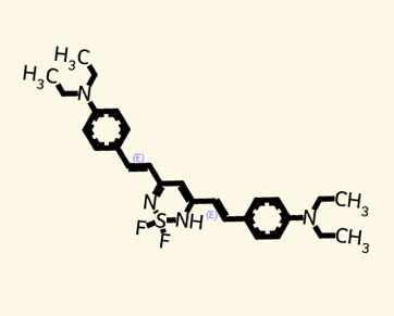 CCN(CC)c1ccc(/C=C/C2=CC(/C=C/c3ccc(N(CC)CC)cc3)=NS(F)(F)N2)cc1